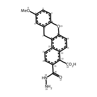 COc1ccc2c(c1)Cc1c(ccc3c(C(=O)O)c(C(=O)NN)ccc13)O2